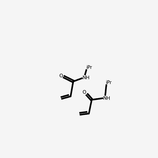 C=CC(=O)NC(C)C.C=CC(=O)NC(C)C